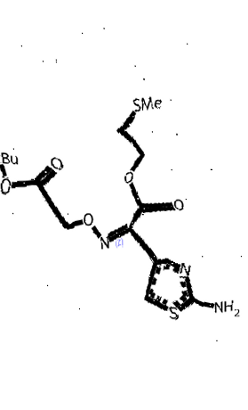 CSCCOC(=O)/C(=N\OCC(=O)OC(C)(C)C)c1csc(N)n1